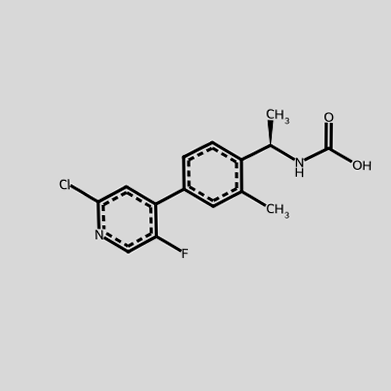 Cc1cc(-c2cc(Cl)ncc2F)ccc1[C@@H](C)NC(=O)O